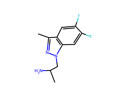 Cc1nn(CC(C)N)c2cc(F)c(F)cc12